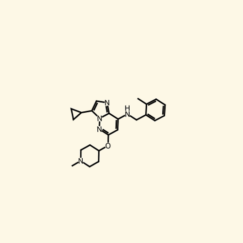 Cc1ccccc1CNc1cc(OC2CCN(C)CC2)nn2c(C3CC3)cnc12